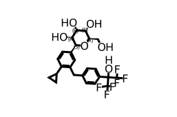 OC[C@H]1O[C@@H](c2ccc(C3CC3)c(Cc3ccc(C(O)(C(F)(F)F)C(F)(F)F)cc3)c2)[C@H](O)[C@@H](O)[C@@H]1O